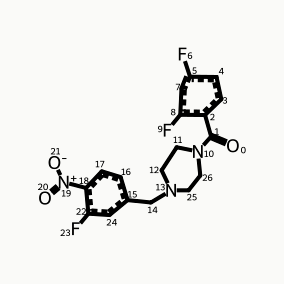 O=C(c1ccc(F)cc1F)N1CCN(Cc2ccc([N+](=O)[O-])c(F)c2)CC1